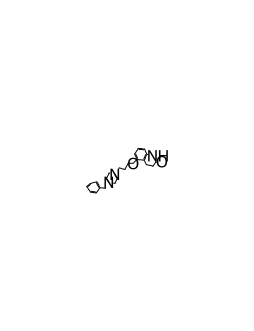 O=C1CCc2c(cccc2OCCCN2CCN(Cc3ccccc3)CC2)N1